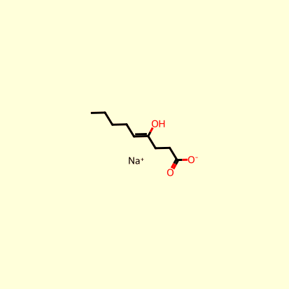 CCCCC=C(O)CCC(=O)[O-].[Na+]